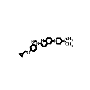 CN(C)C1CCN(c2ccc3nc(-n4cnc5cc(OCC6CC6)ccc54)ccc3c2)CC1